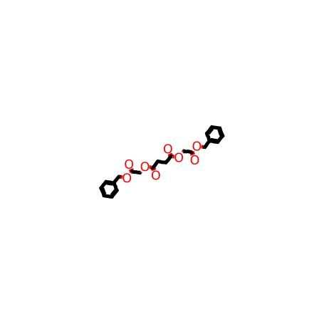 O=C(CCC(=O)OCC(=O)OCc1ccccc1)OCC(=O)OCc1ccccc1